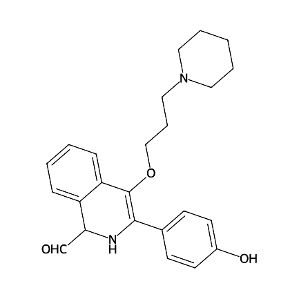 O=CC1NC(c2ccc(O)cc2)=C(OCCCN2CCCCC2)c2ccccc21